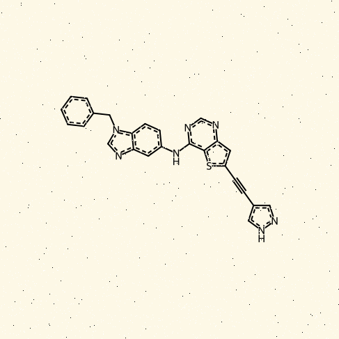 C(#Cc1cc2ncnc(Nc3ccc4c(c3)ncn4Cc3ccccc3)c2s1)c1cn[nH]c1